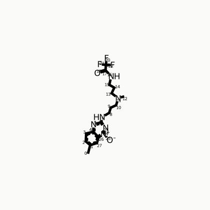 Cc1ccc2nc(NCCCN(C)CCCNC(=O)C(F)(F)F)n[n+]([O-])c2c1